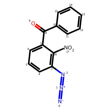 [N-]=[N+]=Nc1cccc(C(=O)c2ccccc2)c1[N+](=O)[O-]